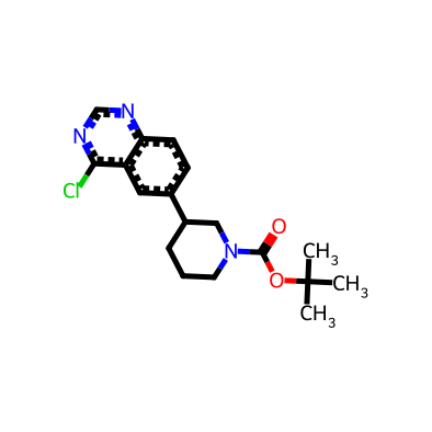 CC(C)(C)OC(=O)N1CCCC(c2ccc3ncnc(Cl)c3c2)C1